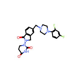 O=C1CCN(N2Cc3cc(CN4CCN(c5ccc(F)cc5F)CC4)ccc3C2=O)C(=O)N1